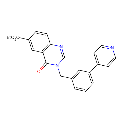 CCOC(=O)c1ccc2ncn(Cc3cccc(-c4ccncc4)c3)c(=O)c2c1